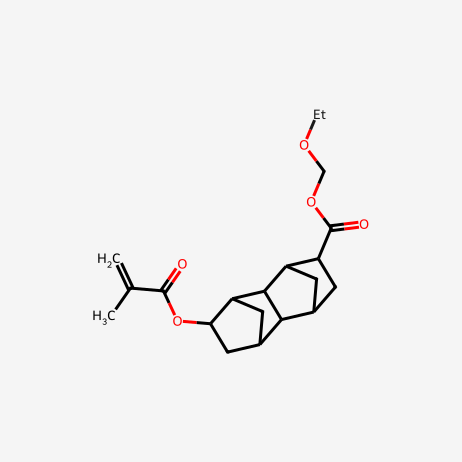 C=C(C)C(=O)OC1CC2CC1C1C3CC(CC3C(=O)OCOCC)C21